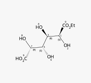 CCOC(=O)[C@@H](O)[C@H](O)[C@H](O)[C@@H](O)C(=O)O